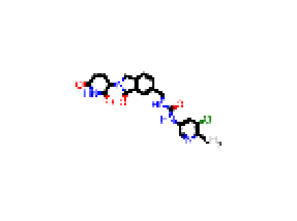 Cc1ncc(NC(=O)NCc2ccc3c(c2)C(=O)N(C2CCC(=O)NC2=O)C3)cc1Cl